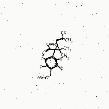 COCc1c(F)c(F)c(C2(C(=O)OC)C(C=C(C)C#N)C2(C)C)c(F)c1F